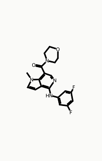 Cn1ccc2c(Nc3cc(F)cc(F)c3)ncc(C(=O)N3CCOCC3)c21